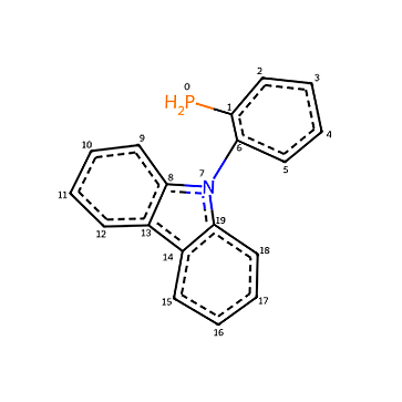 Pc1ccccc1-n1c2ccccc2c2ccccc21